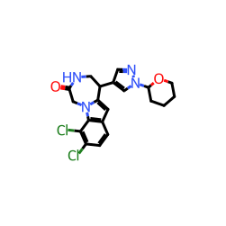 O=C1Cn2c(cc3ccc(Cl)c(Cl)c32)C(c2cnn(C3CCCCO3)c2)CN1